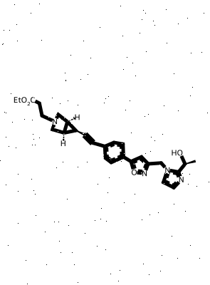 CCOC(=O)CCN1C[C@@H]2[C@H](C#Cc3ccc(-c4cc(Cn5ccnc5[C@H](C)O)no4)cc3)[C@@H]2C1